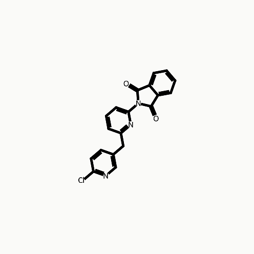 O=C1c2ccccc2C(=O)N1c1cccc(Cc2ccc(Cl)nc2)n1